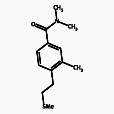 CSCCc1ccc(C(=O)N(C)C)cc1C